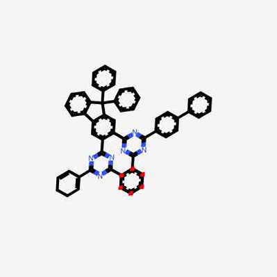 C1=CC(c2nc(-c3ccccc3)nc(-c3cc4c(cc3-c3nc(-c5ccccc5)nc(-c5ccc(-c6ccccc6)cc5)n3)C(c3ccccc3)(c3ccccc3)c3ccccc3-4)n2)=CCC1